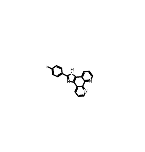 Ic1ccc(-c2nc3c4cccnc4c4ncccc4c3[nH]2)cc1